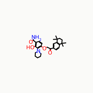 CC1(C)CCC(C)(C)c2cc(C(=O)COc3ccc(C(N)=O)c(O)c3N3CCCCC3)ccc21